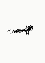 Cc1cnc(NC(=O)c2ccc(NCCOCCOCCOCCOCCOCCOCCN)cc2C)s1